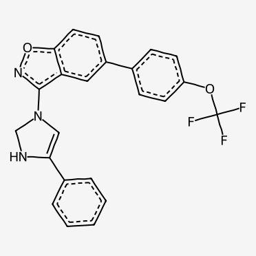 FC(F)(F)Oc1ccc(-c2ccc3onc(N4C=C(c5ccccc5)NC4)c3c2)cc1